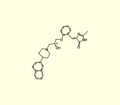 CC1=NC(=Cc2ccccc2OC[C@@H](O)CN2CCC(c3ccc4ccccc4c3)CC2)C(=O)N1